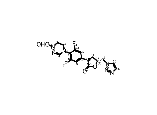 O=CN1CCN(c2c(F)cc(N3C[C@H](Cn4ccnn4)OC3=O)cc2F)C=N1